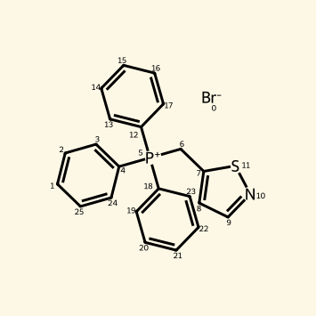 [Br-].c1ccc([P+](Cc2ccns2)(c2ccccc2)c2ccccc2)cc1